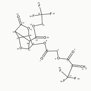 C=C(C(=O)OCC(=O)OC1C2OC(=O)C3C2OC1C3C(=O)OCC(F)(F)F)C(F)(F)F